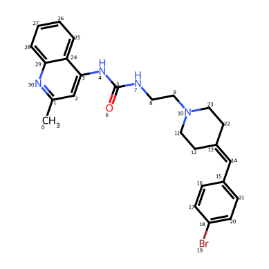 Cc1cc(NC(=O)NCCN2CCC(=Cc3ccc(Br)cc3)CC2)c2ccccc2n1